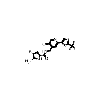 C[C@@H]1N[C@H](C(=O)NCc2cc(-c3cnc(C(F)(F)F)s3)ncc2Cl)C[C@H]1F